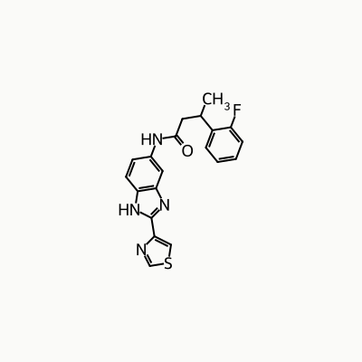 CC(CC(=O)Nc1ccc2[nH]c(-c3cscn3)nc2c1)c1ccccc1F